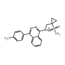 CS(=N)(=O)C1(CNc2nnc(-c3ccc(C(F)(F)F)cc3)c3ccccc23)CC1